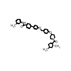 Cc1cccc(NC(=O)c2ccc(-c3ccc(OCc4ccc(OC5CCN(C(=O)C6=CCC(C)C[C@H]6C)CC5)cc4)cc3)cc2)c1